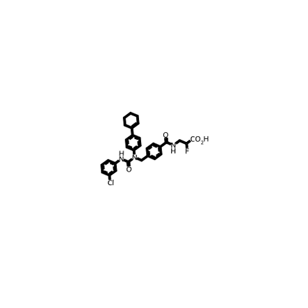 O=C(NCC(F)C(=O)O)c1ccc(CN(C(=O)Nc2cccc(Cl)c2)c2ccc(C3=CCCCC3)cc2)cc1